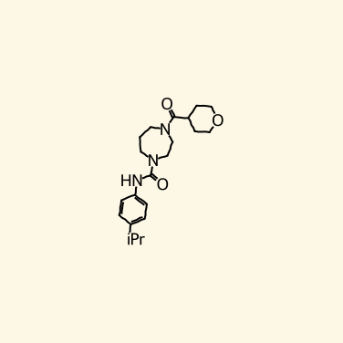 CC(C)c1ccc(NC(=O)N2CCCN(C(=O)C3CCOCC3)CC2)cc1